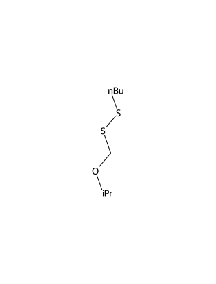 CCCCSSCOC(C)C